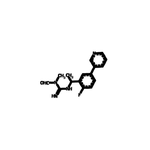 CC(NC(=N)N(C)C=O)c1cc(-c2cccnc2)ccc1F